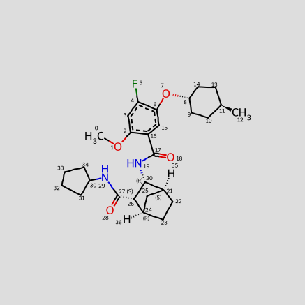 COc1cc(F)c(O[C@H]2CC[C@H](C)CC2)cc1C(=O)N[C@@H]1[C@H]2CC[C@H](C2)[C@@H]1C(=O)NC1CCCC1